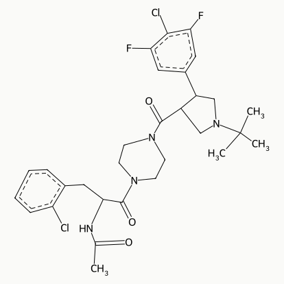 CC(=O)NC(Cc1ccccc1Cl)C(=O)N1CCN(C(=O)C2CN(C(C)(C)C)CC2c2cc(F)c(Cl)c(F)c2)CC1